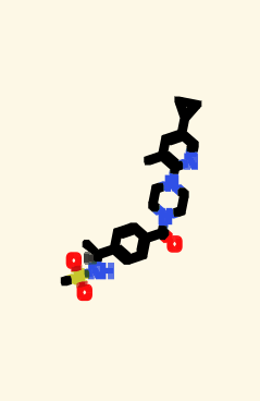 Cc1cc(C2CC2)cnc1N1CCN(C(=O)c2ccc([C@H](C)NS(C)(=O)=O)cc2)CC1